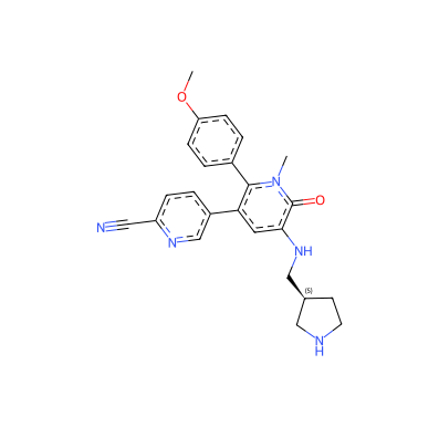 COc1ccc(-c2c(-c3ccc(C#N)nc3)cc(NC[C@H]3CCNC3)c(=O)n2C)cc1